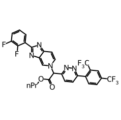 CCCOC(=O)C(c1ccc(-c2ccc(C(F)(F)F)cc2C(F)(F)F)nn1)n1ccc2nc(-c3cccc(F)c3F)nc-2c1